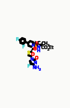 CCOC(=O)C(C)(C)NP(=O)(OC[C@@H]1O[C@H](n2cc(F)c(N)nc2=O)CS1)N1CCC(c2ccc(F)cc2F)CC1